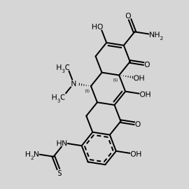 CN(C)[C@H]1C2Cc3c(NC(N)=S)ccc(O)c3C(=O)C2=C(O)[C@]2(O)C(=O)C(C(N)=O)=C(O)CC12